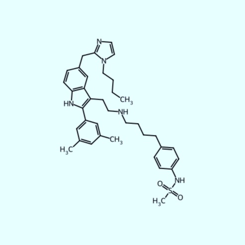 CCCCn1ccnc1Cc1ccc2[nH]c(-c3cc(C)cc(C)c3)c(CCNCCCCc3ccc(NS(C)(=O)=O)cc3)c2c1